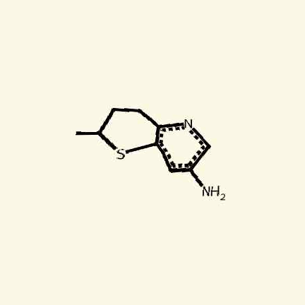 CC1CCc2ncc(N)cc2S1